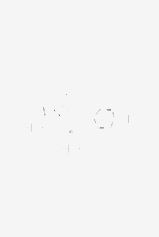 CC(C)(C)[C@]1(C)C[C@H](c2ccc(F)c(F)c2)[C@@H](CO)CN1C(=O)O